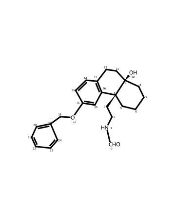 O=CNCC[C@]12CCCC[C@@]1(O)CCc1ccc(OCc3ccccc3)cc12